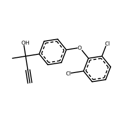 C#CC(C)(O)c1ccc(Oc2c(Cl)cccc2Cl)cc1